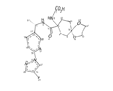 C[C@H](NC(=O)C1(NC(=O)O)CCC2(CC1)OCCO2)c1ccc(-n2cc(F)cn2)nc1